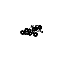 CC(C)(c1ccccc1)c1cccc(N(c2ccccc2)c2cccc3c2ccc2ccc4c5ccccc5[se]c4c23)c1